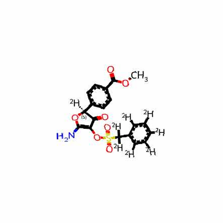 [2H]c1c([2H])c([2H])c(C([2H])([2H])S(=O)(=O)OC2=C(N)O[C@@]([2H])(c3ccc(C(=O)OC)cc3)C2=O)c([2H])c1[2H]